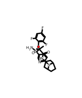 CC(C)(Oc1c(F)cc(F)cc1F)C(=O)NC1CC2CCC(C1)N2c1ccc(S(N)(=O)=O)cn1